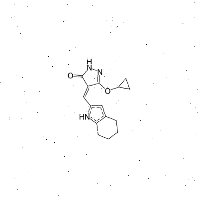 O=C1NN=C(OC2CC2)/C1=C\c1cc2c([nH]1)CCCC2